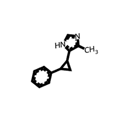 Cc1nc[nH]c1C1CC1c1ccccc1